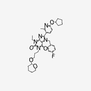 CCn1c(=O)n(CCCOC2CCCCO2)c(=O)c2c1nc(-c1ccc(OC3CCCC3)nc1C)n2Cc1ccc(F)cc1